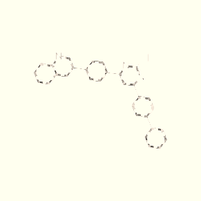 Clc1nc(-c2ccc(-c3ccccc3)cc2)cc(-c2ccc(-c3cnc4ccccc4c3)cc2)n1